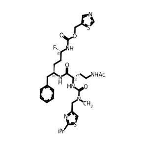 CC(=O)NCC[C@H](NC(=O)N(C)Cc1csc(C(C)C)n1)C(=O)N[C@H](CC[C@H](F)NC(=O)OCc1cncs1)Cc1ccccc1